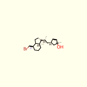 C[C@H](C[C@H]1C=C[C@@](C)(O)C1)[C@H]1CCC2/C(=C/Br)CCC[C@@]21C